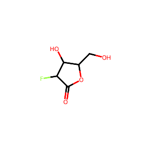 O=C1OC(CO)C(O)C1F